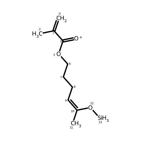 C=C(C)C(=O)OCCCC=C(C)O[SiH3]